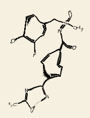 CS(=O)(Cc1ccc(Cl)c(F)c1)=NC(=O)c1ccc(-c2noc(C(F)(F)F)n2)cc1